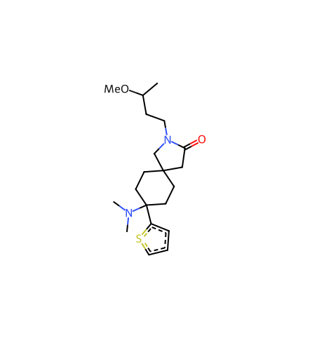 COC(C)CCN1CC2(CCC(c3cccs3)(N(C)C)CC2)CC1=O